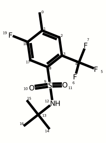 Cc1cc(C(F)(F)F)c(S(=O)(=O)NC(C)(C)C)cc1F